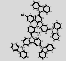 N#Cc1cccc(-c2ccc(-n3c4ccc(-n5c6ccccc6c6ccccc65)cc4c4cc(-n5c6ccccc6c6ccccc65)ccc43)c(C(F)(F)F)c2-n2c3ccc(-n4c5ccccc5c5ccccc54)cc3c3cc(-n4c5ccccc5c5ccccc54)ccc32)c1